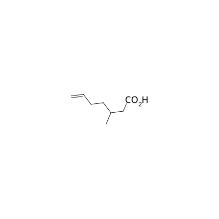 C=CCCC(C)CC(=O)O